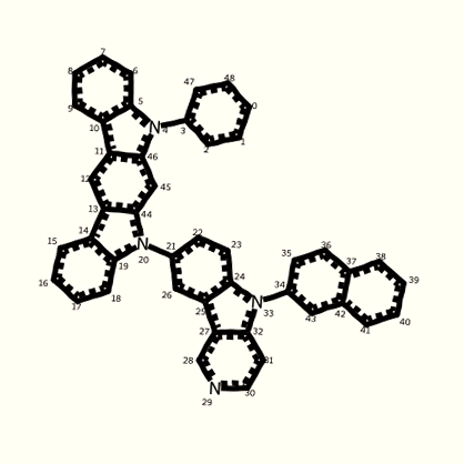 c1ccc(-n2c3ccccc3c3cc4c5ccccc5n(-c5ccc6c(c5)c5cnccc5n6-c5ccc6ccccc6c5)c4cc32)cc1